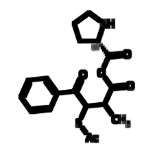 CC(=O)SC(C(=O)c1ccccc1)C(C)C(=O)OC(=O)[C@@H]1CCCN1